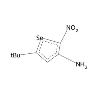 CC(C)(C)c1cc(N)c([N+](=O)[O-])[se]1